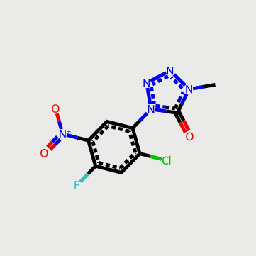 Cn1nnn(-c2cc([N+](=O)[O-])c(F)cc2Cl)c1=O